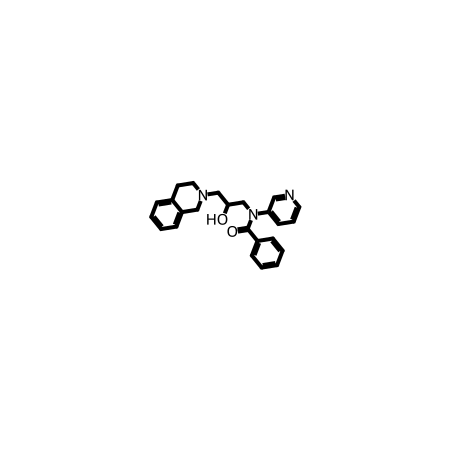 O=C(c1ccccc1)N(CC(O)CN1CCc2ccccc2C1)c1cccnc1